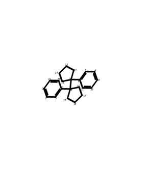 c1ccc(C2(C3(c4ccccc4)CCCC3)CCCC2)cc1